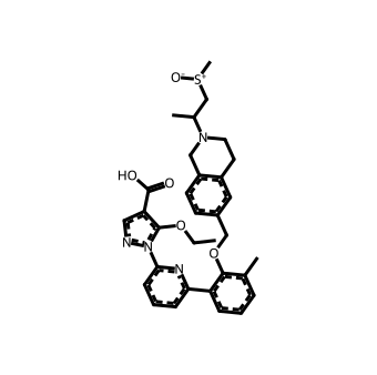 CCOc1c(C(=O)O)cnn1-c1cccc(-c2cccc(C)c2OCc2ccc3c(c2)CCN(C(C)C[S+](C)[O-])C3)n1